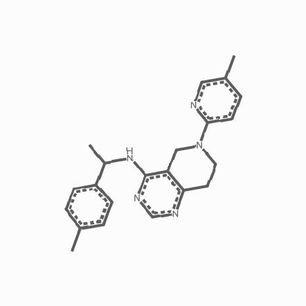 Cc1ccc(C(C)Nc2ncnc3c2CN(c2ccc(C)cn2)CC3)cc1